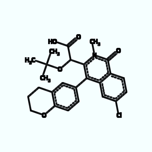 Cn1c(C(OC(C)(C)C)C(=O)O)c(-c2ccc3c(c2)CCCO3)c2cc(Cl)ccc2c1=O